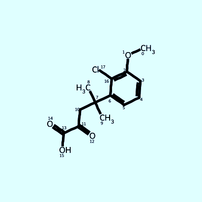 COc1cccc(C(C)(C)CC(=O)C(=O)O)c1Cl